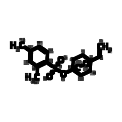 C=CC12CCC(OS(=O)(=O)c3ccc(C)cc3C)(CC1)CO2